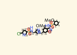 COc1ccccc1S(=O)(=O)Nc1noc2cc(Cn3cc(CNS(=O)(=O)c4ccc(Cl)nc4)cn3)cc(OC)c12